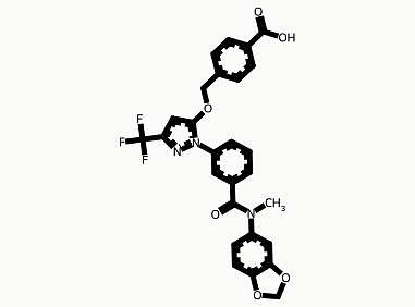 CN(C(=O)c1cccc(-n2nc(C(F)(F)F)cc2OCc2ccc(C(=O)O)cc2)c1)c1ccc2c(c1)OCO2